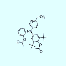 CC(=O)Oc1c(C(C)(C)C)cc(Nc2ccc(CO)nn2)cc1C(C)(C)C.CC(=O)Oc1ccccc1